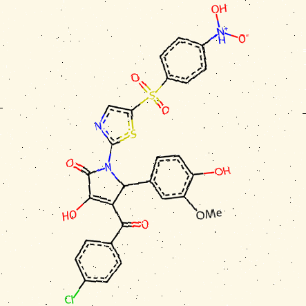 COc1cc(C2C(C(=O)c3ccc(Cl)cc3)=C(O)C(=O)N2c2ncc(S(=O)(=O)c3ccc([NH+]([O-])O)cc3)s2)ccc1O